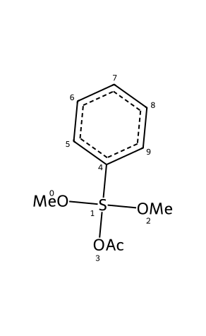 COS(OC)(OC(C)=O)c1ccccc1